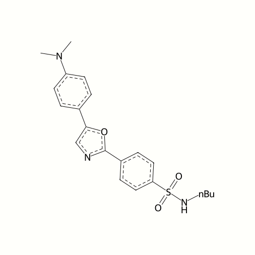 CCCCNS(=O)(=O)c1ccc(-c2ncc(-c3ccc(N(C)C)cc3)o2)cc1